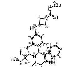 CC1Cc2[nH]c3ccccc3c2C(c2c(F)cc(NC3CN(C(=O)OC(C)(C)C)C3)cc2F)N1CC(F)(F)CO